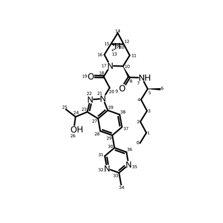 CCCCC[C@H](C)NC(=O)[C@@H]1C[C@]2(C)C[C@H]2CN1C(=O)Cn1nc(C(C)O)c2cc(-c3cnc(C)nc3)ccc21